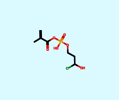 C=C(C)C(=O)OP(=O)(O)OCCC(O)Cl